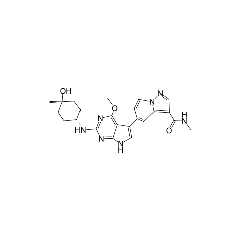 CNC(=O)c1cnn2ccc(-c3c[nH]c4nc(N[C@H]5CC[C@@](C)(O)CC5)nc(OC)c34)cc12